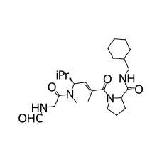 C/C(=C\[C@H](C(C)C)N(C)C(=O)CNC=O)C(=O)N1CCCC1C(=O)NCC1CCCCC1